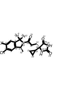 [2H]C1([2H])c2cc(Cl)c(Cl)cc2[C@H](C)N1C(=O)CC[C@@]1(C2CC2)NC(=O)NC1=O